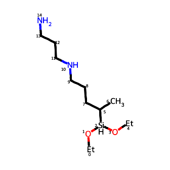 CCO[SiH](OCC)C(C)CCCNCCCN